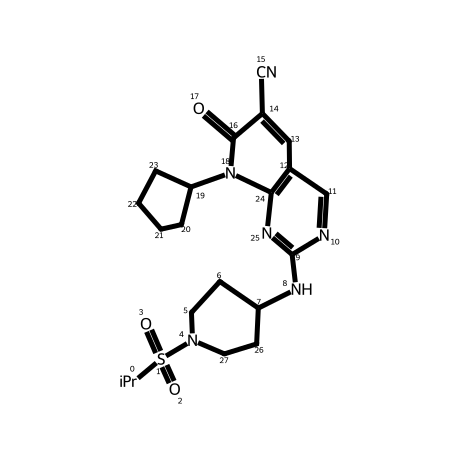 CC(C)S(=O)(=O)N1CCC(Nc2ncc3cc(C#N)c(=O)n(C4CCCC4)c3n2)CC1